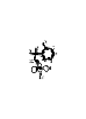 Cc1cccc2c1C(C)(C)CN2S(C)(=O)=O